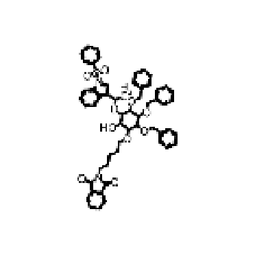 CC(OC1C(O)C(OCCCCCN2C(=O)c3ccccc3C2=O)C(OCc2ccccc2)C(OCc2ccccc2)C1OCc1ccccc1)c1cn(S(=O)(=O)c2ccccc2)c2ccccc12